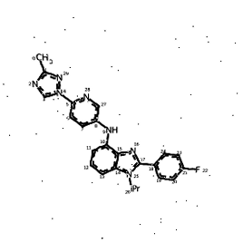 Cc1ncn(-c2ccc(Nc3cccc4c3nc(-c3ccc(F)cc3)n4C(C)C)cn2)n1